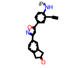 C#Cc1cc(-c2cc(-c3ccc4c(c3)CC(=O)C4)no2)ccc1NC(C)C